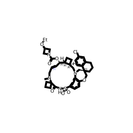 CCOC1CN(C(=O)O[C@H]2/C=C/CN(C)C3(CCC3)C(=O)NS(=O)(=O)c3ccc4c(c3)N(C[C@@H]3CC[C@H]32)C[C@@]2(CCCc3cc(Cl)ccc32)CO4)C1